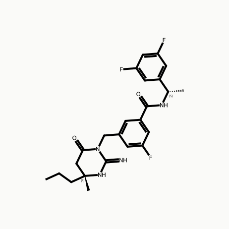 CCC[C@]1(C)CC(=O)N(Cc2cc(F)cc(C(=O)N[C@@H](C)c3cc(F)cc(F)c3)c2)C(=N)N1